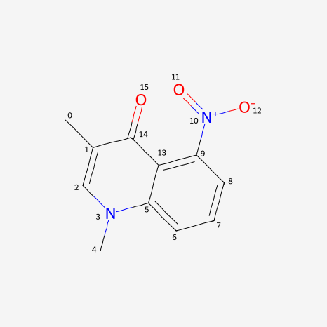 Cc1cn(C)c2cccc([N+](=O)[O-])c2c1=O